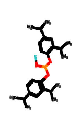 CC(C)c1ccc(OP(OF)Oc2ccc(C(C)C)cc2C(C)C)c(C(C)C)c1